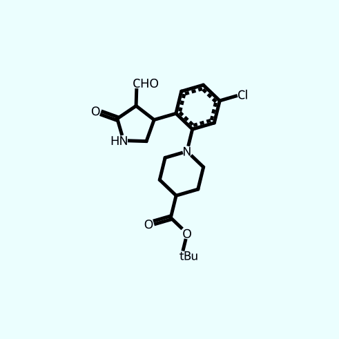 CC(C)(C)OC(=O)C1CCN(c2cc(Cl)ccc2C2CNC(=O)C2C=O)CC1